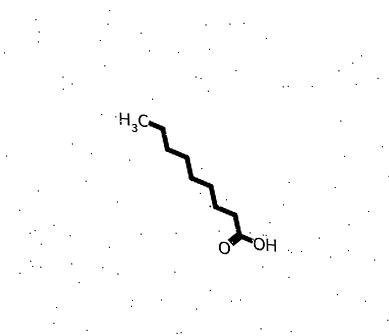 CCCCCC[CH]CC(=O)O